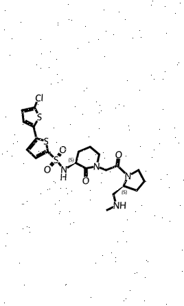 CNC[C@@H]1CCCN1C(=O)CN1CCC[C@H](NS(=O)(=O)c2ccc(-c3ccc(Cl)s3)s2)C1=O